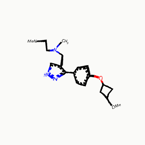 CNCCN(C)Cc1c[nH]nc1-c1ccc(OC2CC(OC)C2)cc1